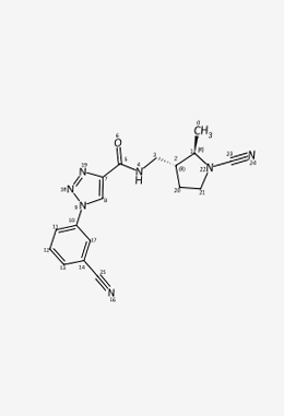 C[C@@H]1[C@@H](CNC(=O)c2cn(-c3cccc(C#N)c3)nn2)CCN1C#N